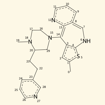 Cc1cc2c(s1)NC=c1cccnc1=C2N1CCN(C)C(CCc2cccnc2)C1